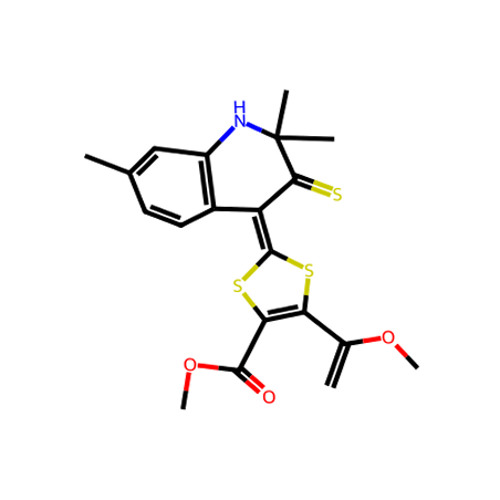 C=C(OC)C1=C(C(=O)OC)S/C(=C2/C(=S)C(C)(C)Nc3cc(C)ccc32)S1